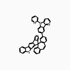 C1=Cc2ccc(-c3ccc4c(c3)c3ncccc3n4-c3ccccn3)cc2C2(c3ccccc31)c1ccccc1-c1cc3c(cc12)sc1ccccc13